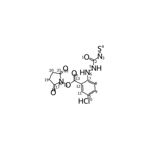 Cl.O=C(N=S)NNc1ccccc1C(=O)ON1C(=O)CCC1=O